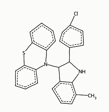 Cc1cccc2c1NC(c1ccc(Cl)cc1)C2N1c2ccccc2Sc2ccccc21